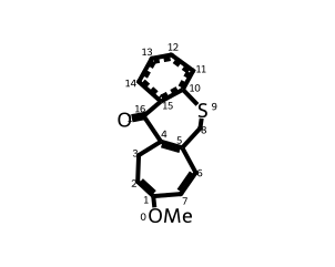 COC1=CCC2=C(C=C1)CSc1ccccc1C2=O